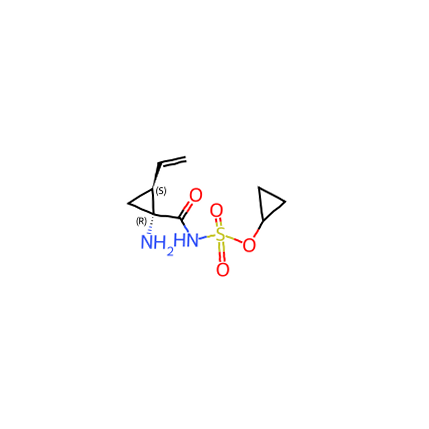 C=C[C@@H]1C[C@]1(N)C(=O)NS(=O)(=O)OC1CC1